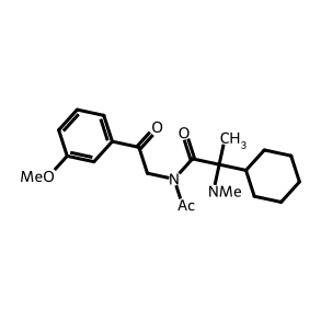 CNC(C)(C(=O)N(CC(=O)c1cccc(OC)c1)C(C)=O)C1CCCCC1